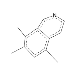 Cc1cc(C)c2ccncc2c1C